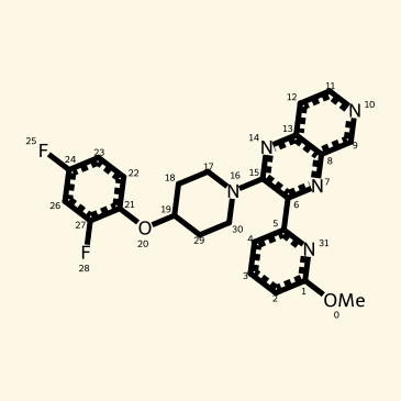 COc1cccc(-c2nc3cnccc3nc2N2CCC(Oc3ccc(F)cc3F)CC2)n1